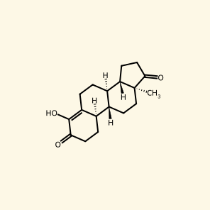 C[C@]12CC[C@H]3[C@@H](CCC4=C(O)C(=O)CC[C@@H]43)[C@@H]1CCC2=O